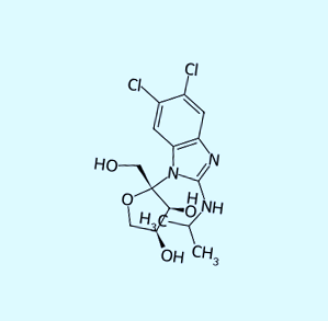 CC(C)Nc1nc2cc(Cl)c(Cl)cc2n1[C@@]1(CO)OC[C@H](O)[C@@H]1O